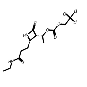 CCNC(=S)CC[C@H]1NC(=O)[C@@H]1C(C)OC(=O)OCC(Cl)(Cl)Cl